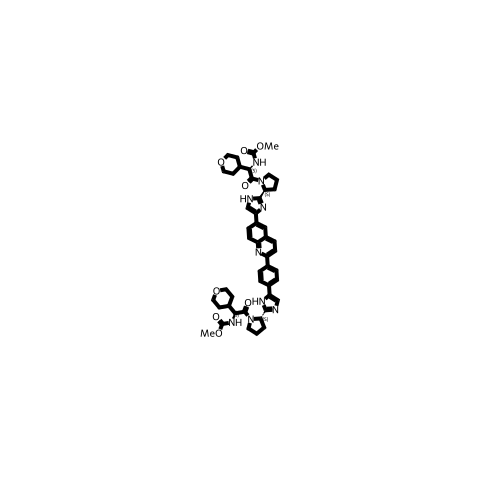 COC(=O)N[C@H](C(=O)N1CCC[C@H]1c1nc(-c2ccc3nc(-c4ccc(-c5cnc([C@@H]6CCCN6C(=O)[C@@H](NC(=O)OC)C6CCOCC6)[nH]5)cc4)ccc3c2)c[nH]1)C1CCOCC1